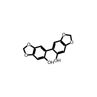 Oc1cc2c(cc1-c1cc3c(cc1O)OCO3)OCO2